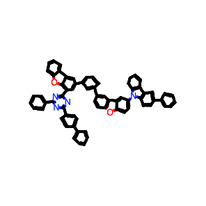 C1=Cc2c(n(-c3ccc4oc5ccc(-c6cccc(-c7cc(-c8nc(-c9ccccc9)nc(-c9ccc(-c%10ccccc%10)cc9)n8)c8oc9ccccc9c8c7)c6)cc5c4c3)c3ccc(-c4ccccc4)cc23)CC1